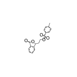 Cc1ccc(S(=O)(=O)OCCC2OC(=O)c3ccccc32)cc1